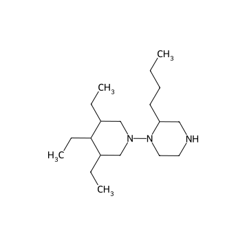 CCCCC1CNCCN1N1CC(CC)C(CC)C(CC)C1